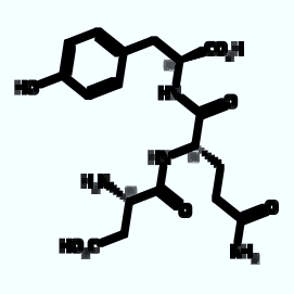 NC(=O)CC[C@H](NC(=O)[C@@H](N)CC(=O)O)C(=O)N[C@@H](Cc1ccc(O)cc1)C(=O)O